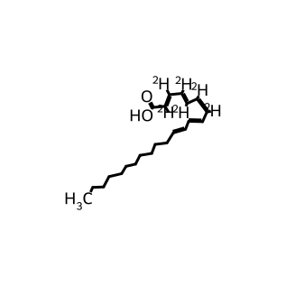 [2H]C(C=CC=CCCCCCCCCCCC)=C([2H])C([2H])=C([2H])C([2H])=C([2H])C(=O)O